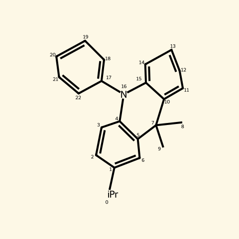 CC(C)c1ccc2c(c1)C(C)(C)c1ccccc1N2c1ccccc1